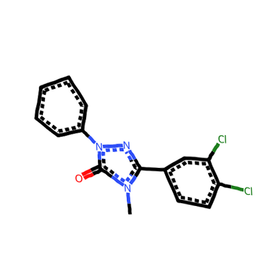 Cn1c(-c2ccc(Cl)c(Cl)c2)nn(-c2ccccc2)c1=O